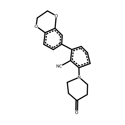 N#Cc1c(-c2ccc3c(c2)OCCO3)cccc1N1CCC(=O)CC1